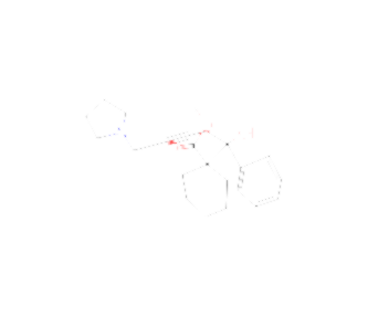 COC(=O)C1(C(O)(CC#CCN2CCCC2)c2ccccc2)CCCCC1